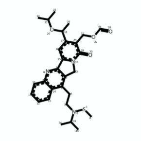 CSN(CCc1c2c(nc3ccccc13)-c1cc(C(C)OC(C)C)c(COC=O)c(=O)n1C2)C(C)C